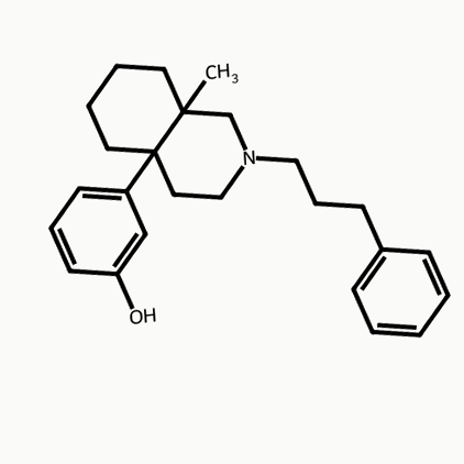 CC12CCCCC1(c1cccc(O)c1)CCN(CCCc1ccccc1)C2